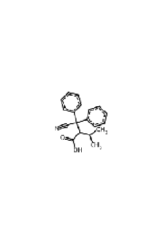 CC(C)C(C(=O)O)C(C#N)(c1ccccc1)c1ccccc1